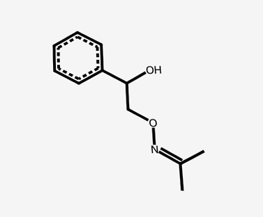 CC(C)=NOCC(O)c1ccccc1